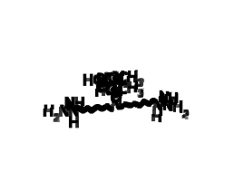 CC(=O)O.CC(=O)O.CC(=O)O.N=C(N)NCCCCCCCCNCCCCCCCCNC(=N)N